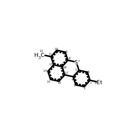 CCc1ccc2c(c1)Sc1ccc(C)c3cccc-2c13